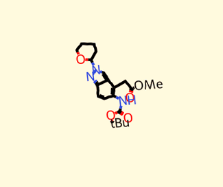 COC(=O)Cc1c(NC(=O)OC(C)(C)C)ccc2nn(C3CCCCO3)cc12